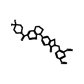 COc1ccc(CN2Cc3cc(N4CCCc5cc(C(=O)N6CCC(F)(F)CC6)cnc54)ccc3C2=O)c(OC)c1